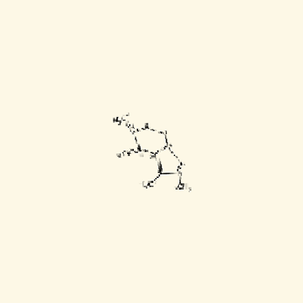 C=C1CC=C2C=C(C)C(C)=C2C1=O